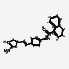 NC1=NC(CCc2ccc(NC(=O)c3nccc4ccccc34)cc2)CO1